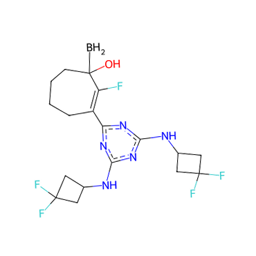 BC1(O)CCCCC(c2nc(NC3CC(F)(F)C3)nc(NC3CC(F)(F)C3)n2)=C1F